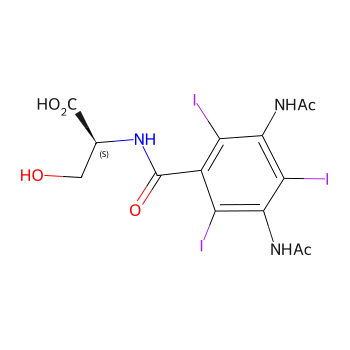 CC(=O)Nc1c(I)c(NC(C)=O)c(I)c(C(=O)N[C@@H](CO)C(=O)O)c1I